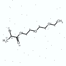 CCOCCOCCOC(=O)C(C)Br